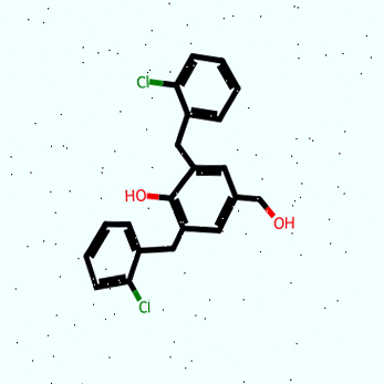 OCc1cc(Cc2ccccc2Cl)c(O)c(Cc2ccccc2Cl)c1